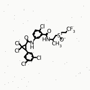 CC(C[S+]([O-])CCC(F)(F)F)NC(=O)c1cc(NC(=O)C2C(c3cc(Cl)cc(Cl)c3)C2(Cl)Cl)ccc1Cl